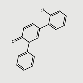 O=c1ccc(-c2ccccc2Cl)cn1-c1ccccc1